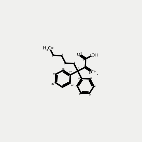 C=C(C(=O)O)C(CCCCC)(c1ccccc1)c1ccccc1